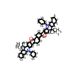 CC1(C)c2cc3ccccc3cc2N(c2ccccc2)c2cc3c(cc21)oc1c3ccc2c1ccc1c3cc4c(cc3oc12)C(C)(C)c1cc2ccccc2cc1N4c1ccccc1